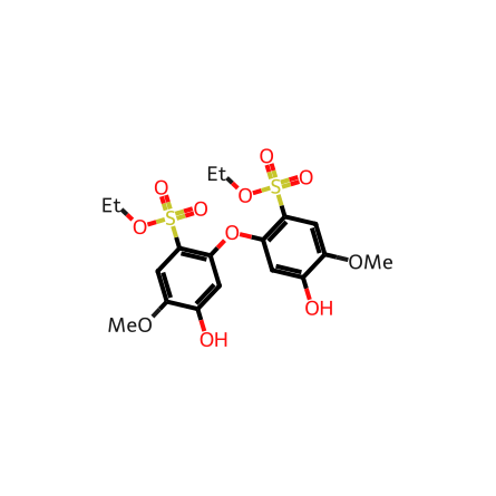 CCOS(=O)(=O)c1cc(OC)c(O)cc1Oc1cc(O)c(OC)cc1S(=O)(=O)OCC